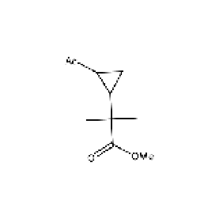 COC(=O)C(C)(C)C1CC1C(C)=O